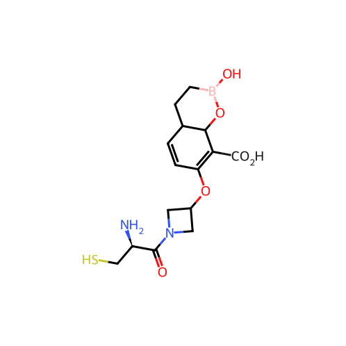 N[C@H](CS)C(=O)N1CC(OC2=C(C(=O)O)C3OB(O)CCC3C=C2)C1